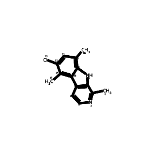 Cc1nccc2c1[nH]c1c(C)cc(Cl)c(C)c12